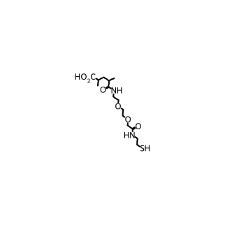 CC(CC(C)C(=O)NCCOCCOCC(=O)NCCS)C(=O)O